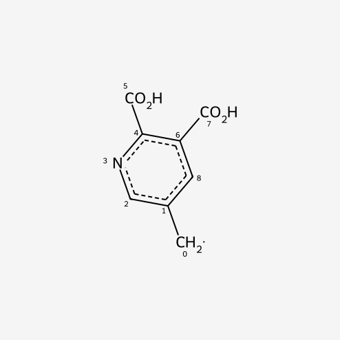 [CH2]c1cnc(C(=O)O)c(C(=O)O)c1